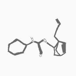 C=CCC12C=CC(CC1OC(=O)NC1CCCCC1)C2